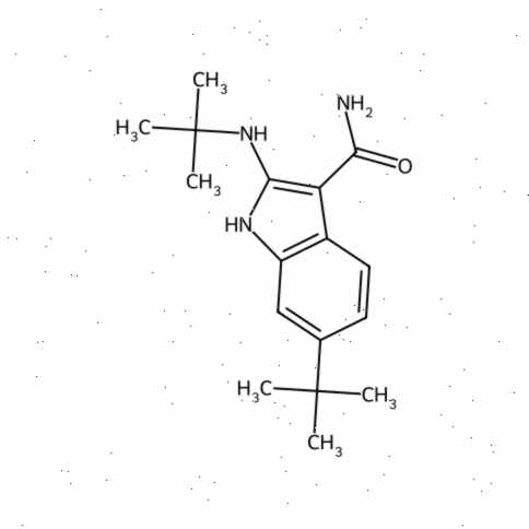 CC(C)(C)Nc1[nH]c2cc(C(C)(C)C)ccc2c1C(N)=O